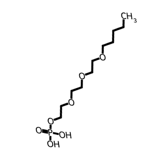 CCCCCOCCOCCOCCOP(=O)(O)O